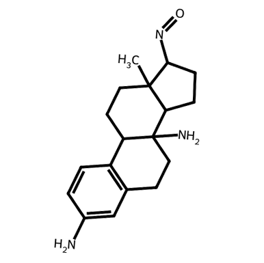 CC12CCC3c4ccc(N)cc4CCC3(N)C1CCC2N=O